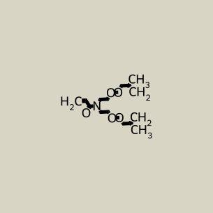 C=CC(=O)N(CCOOCC(=C)C)CCOOCC(=C)C